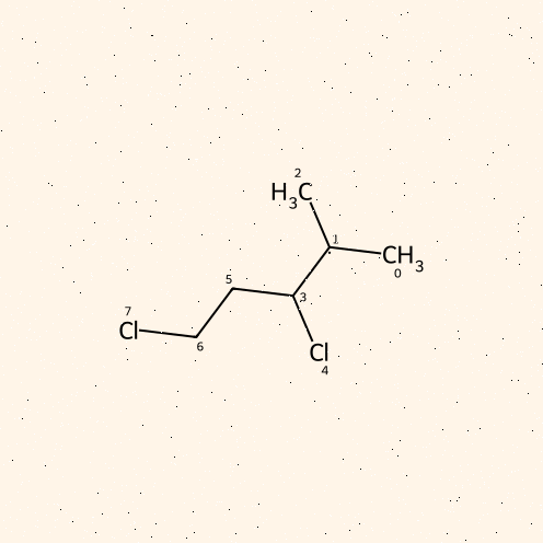 C[C](C)C(Cl)CCCl